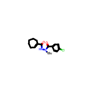 CC(C)(C)N(NC(=O)C1=CCCCCC1)C(=O)c1ccc(Cl)cc1